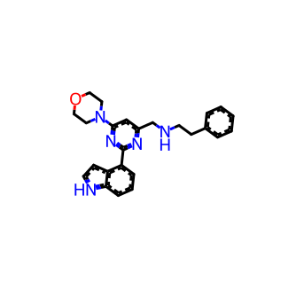 c1ccc(CCNCc2cc(N3CCOCC3)nc(-c3cccc4[nH]ccc34)n2)cc1